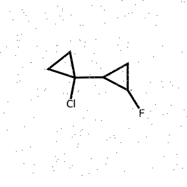 F[C]1CC1C1(Cl)CC1